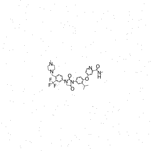 CNC(=O)c1cc(Oc2ccc(N3C(=O)CN(c4ccc(CN5CCN(C)CC5)c(C(F)(F)F)c4)C3=O)cc2C(C)C)ccn1